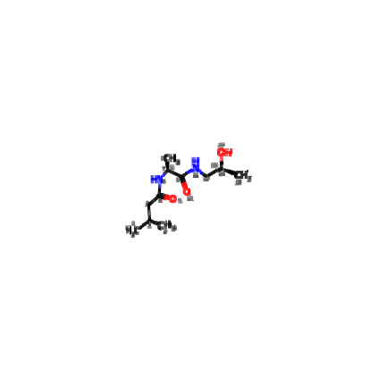 CC(C)CC(=O)N[C@@H](C)C(=O)NC[C@H](C)O